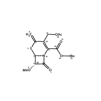 C=C1SC2[C@@H](OC)C(=O)N2C(C(=O)OC(C)(C)C)=C1COC(C)=O